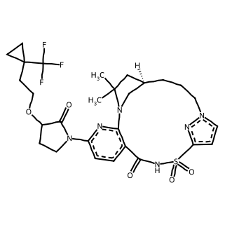 CC1(C)C[C@H]2CCCn3ccc(n3)S(=O)(=O)NC(=O)c3ccc(N4CCC(OCCC5(C(F)(F)F)CC5)C4=O)nc3N1C2